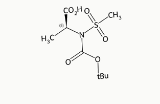 C[C@@H](C(=O)O)N(C(=O)OC(C)(C)C)S(C)(=O)=O